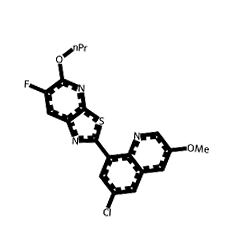 C[CH]COc1nc2sc(-c3cc(Cl)cc4cc(OC)cnc34)nc2cc1F